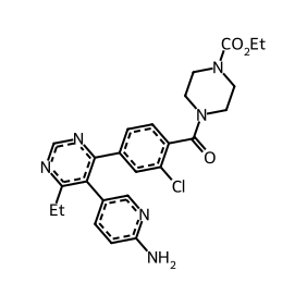 CCOC(=O)N1CCN(C(=O)c2ccc(-c3ncnc(CC)c3-c3ccc(N)nc3)cc2Cl)CC1